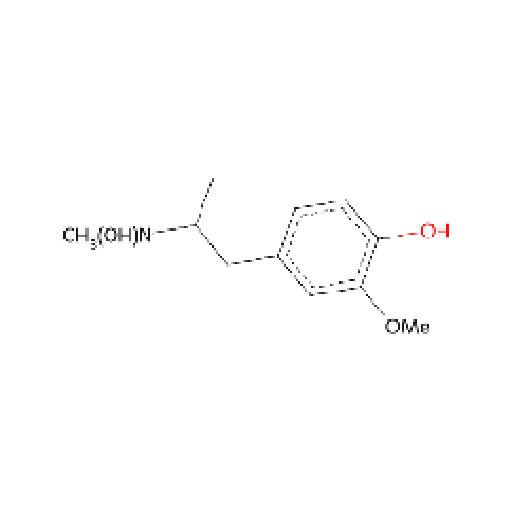 COc1cc(CC(C)N(C)O)ccc1O